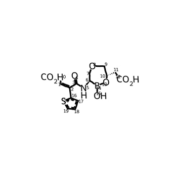 O=C(O)/C=C(\C(=O)N[C@H]1COC[C@H](CC(=O)O)OB1O)c1cccs1